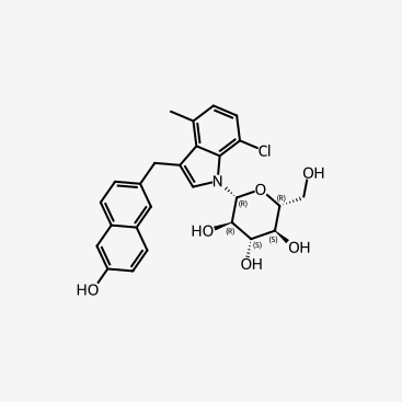 Cc1ccc(Cl)c2c1c(Cc1ccc3cc(O)ccc3c1)cn2[C@@H]1O[C@H](CO)[C@@H](O)[C@H](O)[C@H]1O